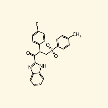 Cc1ccc(S(=O)(=O)CC(C(=O)c2nc3ccccc3[nH]2)c2ccc(F)cc2)cc1